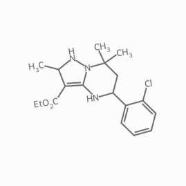 CCOC(=O)C1=C2NC(c3ccccc3Cl)CC(C)(C)N2NC1C